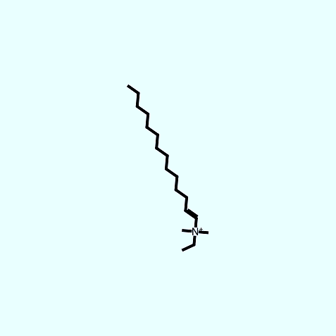 CCCCCCCCCCCCC=C[N+](C)(C)CC